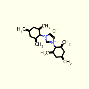 C=C1CC(=C)C(n2cc[n+](C3C(=C)CC(=C)CC3=C)c2)C(=C)C1.[Cl-]